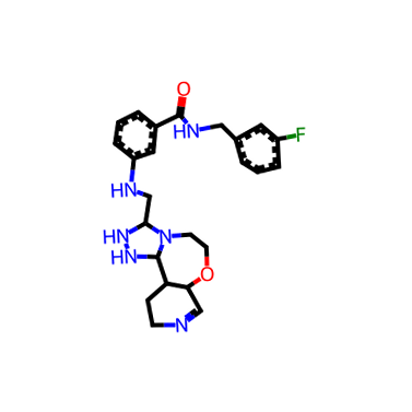 O=C(NCc1cccc(F)c1)c1cccc(NCC2NNC3C4CCN=CC4OCCN23)c1